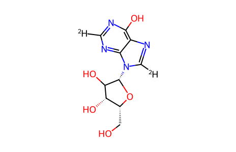 [2H]c1nc(O)c2nc([2H])n([C@@H]3O[C@H](CO)[C@H](O)C3O)c2n1